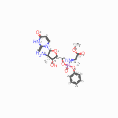 C=C1NC(=O)C=CN1[C@@H]1O[C@H](CO[P@](=O)(N[C@@H](C)C(=O)OC(C)C)Oc2ccccc2)[C@@H](O)[C@@]1(C)N